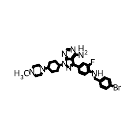 CN1CCN(C2CCC(n3nc(-c4ccc(NCc5ccc(Br)cc5)c(F)c4)c4c(N)ncnc43)CC2)CC1